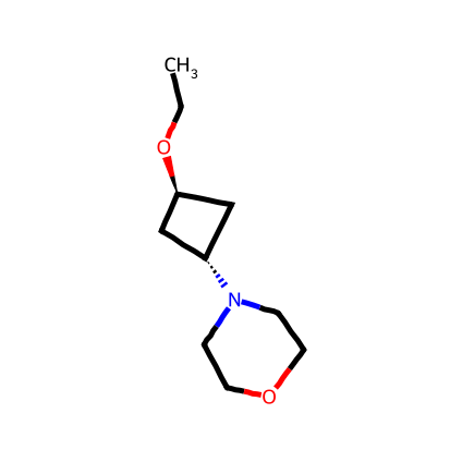 CCO[C@H]1C[C@H](N2CCOCC2)C1